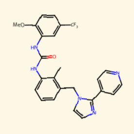 COc1ccc(C(F)(F)F)cc1NC(=O)Nc1cccc(Cn2ccnc2-c2ccncc2)c1C